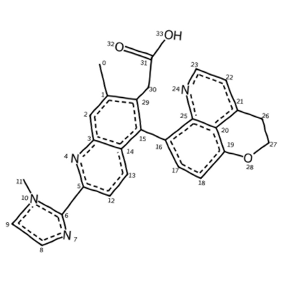 Cc1cc2nc(-c3nccn3C)ccc2c(-c2ccc3c4c(ccnc24)CCO3)c1CC(=O)O